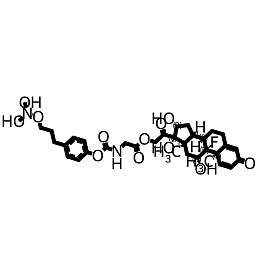 C[C@]12C=CC(=O)C=C1CC[C@H]1[C@@H]3C[C@@H](O)[C@](O)(C(=O)COC(=O)CNC(=O)Oc4ccc(CCCON(O)O)cc4)[C@@]3(C)C[C@H](O)[C@@]12F